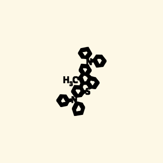 Cc1c2c3c(cccc3c3cc(N(c4ccccc4)c4ccccc4)ccc13)Sc1cc(N(c3ccccc3)c3ccccc3)ccc1-2